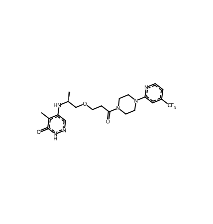 Cc1c(N[C@@H](C)COCCC(=O)N2CCN(c3cc(C(F)(F)F)ccn3)CC2)cn[nH]c1=O